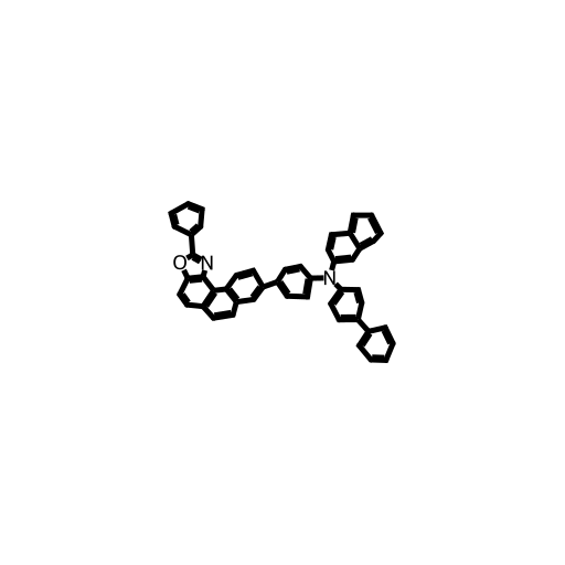 c1ccc(-c2ccc(N(c3ccc(-c4ccc5c(ccc6ccc7oc(-c8ccccc8)nc7c65)c4)cc3)c3ccc4ccccc4c3)cc2)cc1